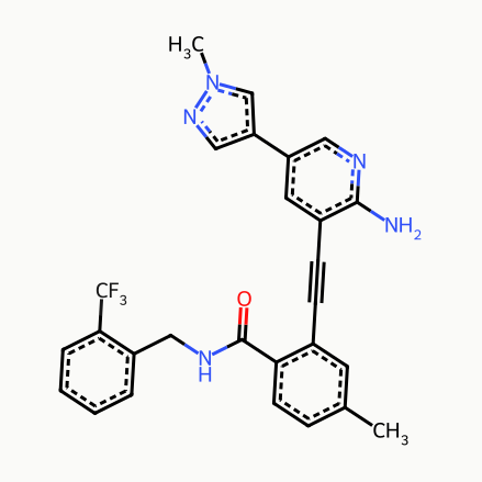 Cc1ccc(C(=O)NCc2ccccc2C(F)(F)F)c(C#Cc2cc(-c3cnn(C)c3)cnc2N)c1